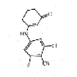 N#Cc1c(F)cc(NC2=CC(=O)CCC2)cc1Cl